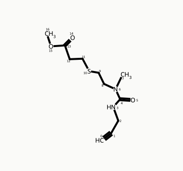 C#CCNC(=O)N(C)CCSCCC(=O)OC